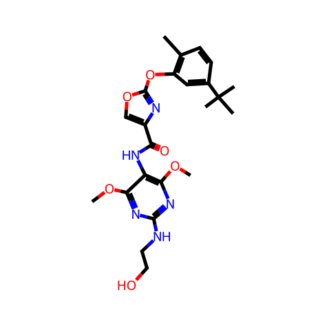 COc1nc(NCCO)nc(OC)c1NC(=O)c1coc(Oc2cc(C(C)(C)C)ccc2C)n1